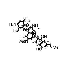 CNCC(=O)N[C@@H]1C(CO)O[C@H](OC2O[C@H]3CC(N)[C@@H](O[C@@H]4C(N)C[C@@H](N)C(O)C4O)OC3C(O)C2NC)C(O)C1O